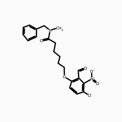 CN(Cc1ccccc1)C(=O)CCCCCOc1ccc(Cl)c([N+](=O)[O-])c1C=O